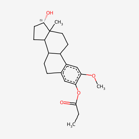 CCC(=O)Oc1cc2c(cc1OC)C1CCC3(C)C(CC[C@@H]3O)C1CC2